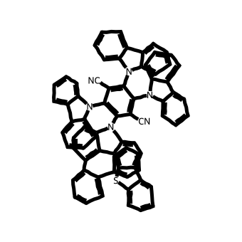 N#Cc1c(-n2c3ccccc3c3ccccc32)c(-n2c3ccccc3c3ccccc32)c(C#N)c(-n2c3cccc(-c4ccccc4-c4ccccc4)c3c3c4sc5ccccc5c4ccc32)c1-n1c2ccccc2c2ccccc21